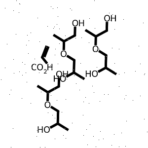 C=CC(=O)O.CC(O)COC(C)CO.CC(O)COC(C)CO.CC(O)COC(C)CO